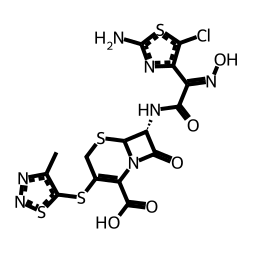 Cc1nnsc1SC1=C(C(=O)O)N2C(=O)[C@@H](NC(=O)/C(=N/O)c3nc(N)sc3Cl)C2SC1